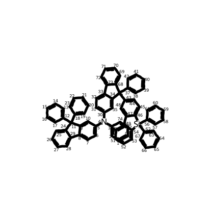 c1ccc(N(c2ccc3c(c2)C(c2ccccc2)(c2ccccc2)c2ccccc2-3)c2ccc3c(c2)C(c2ccccc2)(c2ccc4c(c2)-c2ccccc2[Si]4(c2ccccc2)c2ccccc2)c2ccccc2-3)cc1